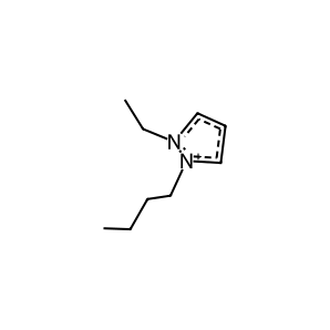 CCCC[n+]1cccn1CC